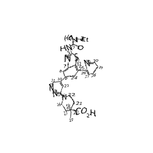 CCNC(=O)Nc1nc2cc(-c3cnnc(N4CCC(C)(C(=O)O)CC4)c3)cc(-c3ccccn3)c2s1